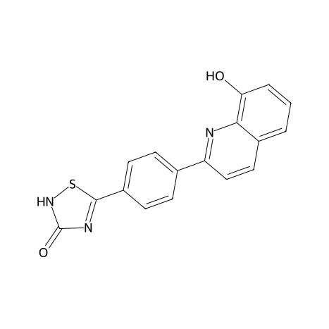 O=c1nc(-c2ccc(-c3ccc4cccc(O)c4n3)cc2)s[nH]1